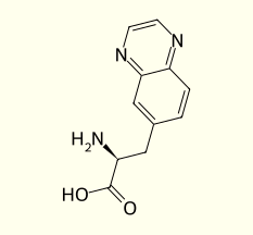 N[C@@H](Cc1ccc2nccnc2c1)C(=O)O